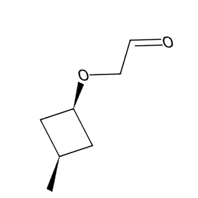 C[C@H]1C[C@@H](OCC=O)C1